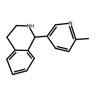 Cc1ccc(C2NCCc3ccccc32)cn1